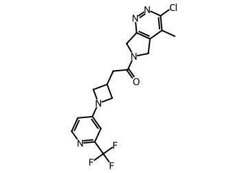 Cc1c(Cl)nnc2c1CN(C(=O)CC1CN(c3ccnc(C(F)(F)F)c3)C1)C2